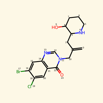 C=C(CC1NCCCC1O)Cn1cnc2cc(Br)c(Cl)cc2c1=O